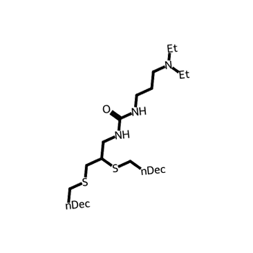 CCCCCCCCCCCSCC(CNC(=O)NCCCN(CC)CC)SCCCCCCCCCCC